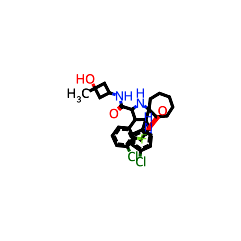 CC1(O)CC(NC(=O)C2NC3(CCCCCC3)C3(C(=O)Nc4cc(Cl)ccc43)C2c2cccc(Cl)c2F)C1